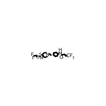 O=C(CCC(F)(F)F)N[C@H]1CC[C@H](CCN2CCc3nc(OCC(F)F)sc3CC2)CC1